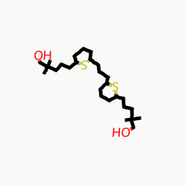 CC(C)(CO)CCCC1CCCC(CCCC2CCCC(CCCC(C)(C)CO)S2)S1